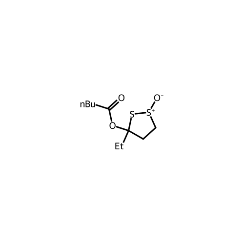 CCCCC(=O)OC1(CC)CC[S+]([O-])S1